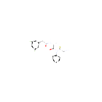 C[C@H](NC(=O)Cc1cc(F)cc(F)c1)C(=O)N(C(=S)CN)c1ccccc1